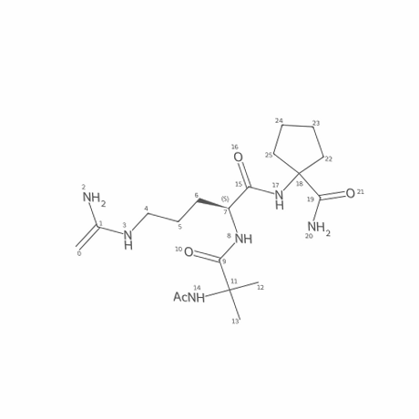 C=C(N)NCCC[C@H](NC(=O)C(C)(C)NC(C)=O)C(=O)NC1(C(N)=O)CCCC1